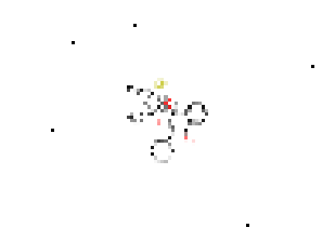 CC(C)(S)CC(C)(C)OC1=C(C2CCCCC2)C(=O)c2ccccc2C1=O